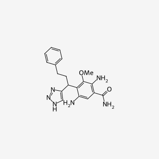 COc1c(N)c(C(N)=O)cc(N)c1C(CCc1ccccc1)c1c[nH]nn1